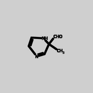 CC1(C=O)C=NC=CN1